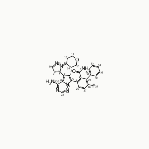 NC(=O)c1c(-c2cc(-c3ccnn3C3CCOCC3)c3c(N)ncnn23)ccc(F)c1-c1ccccc1